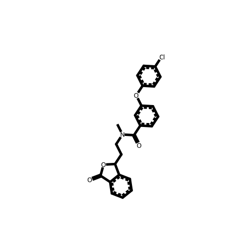 CN(CCC1OC(=O)c2ccccc21)C(=O)c1cccc(Oc2ccc(Cl)cc2)c1